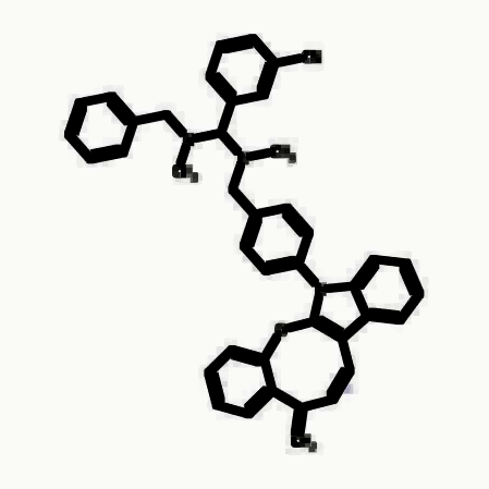 C=C1/C=C\c2c(n(-c3ccc(CN(C)C(c4cccc(C#N)c4)N(C)Cc4ccccc4)cc3)c3ccccc23)Oc2ccccc21